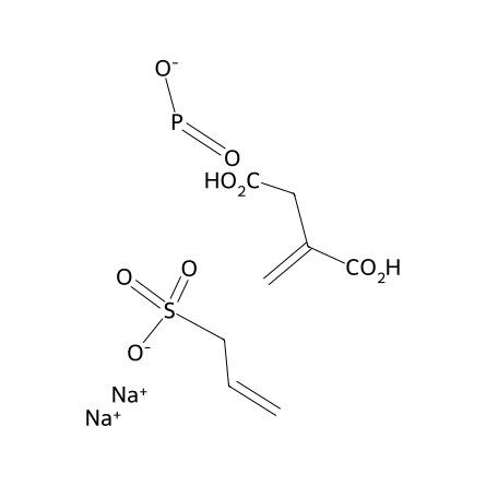 C=C(CC(=O)O)C(=O)O.C=CCS(=O)(=O)[O-].O=P[O-].[Na+].[Na+]